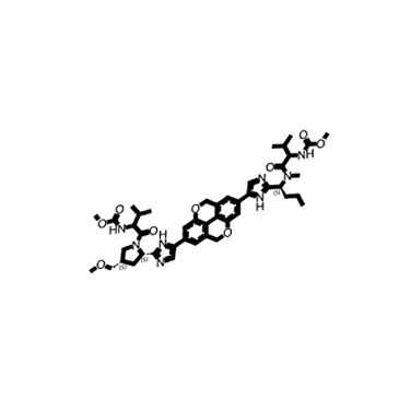 CCC[C@@H](c1ncc(-c2cc3c4c(c2)OCc2cc(-c5cnc([C@@H]6C[C@H](COC)CN6C(=O)C(NC(=O)OC)C(C)C)[nH]5)cc(c2-4)OC3)[nH]1)N(C)C(=O)C(NC(=O)OC)C(C)C